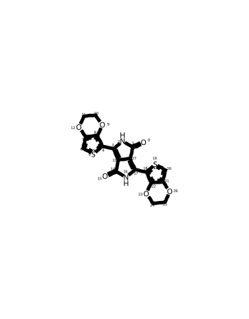 O=C1NC(c2scc3c2OCCO3)=C2C(=O)NC(c3scc4c3OCCO4)=C12